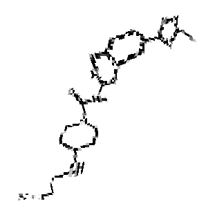 COCCNC1CCN(C(=O)Nc2cc3cc(-c4nnc(C)s4)ccc3cn2)CC1